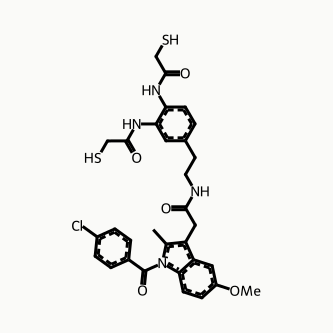 COc1ccc2c(c1)c(CC(=O)NCCc1ccc(NC(=O)CS)c(NC(=O)CS)c1)c(C)n2C(=O)c1ccc(Cl)cc1